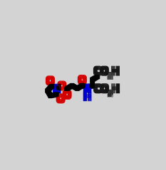 O=C(O)CCC(NC(=O)CCC(=O)ON1C(=O)CCC1=O)C(=O)O